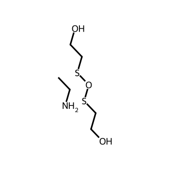 CCN.OCCSOSCCO